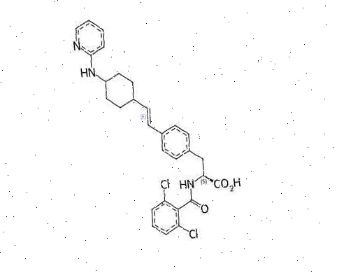 O=C(N[C@@H](Cc1ccc(/C=C/C2CCC(Nc3ccccn3)CC2)cc1)C(=O)O)c1c(Cl)cccc1Cl